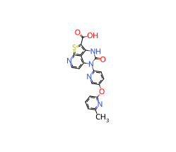 Cc1cccc(Oc2ccc(N3C(=O)Nc4c(C(=O)O)sc5nccc3c45)nc2)n1